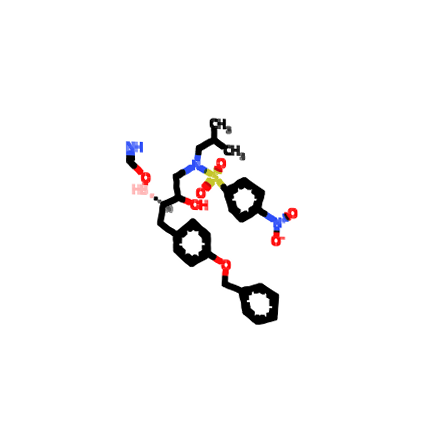 CC(C)CN(CC(O)[C@@H](BOC=N)Cc1ccc(OCc2ccccc2)cc1)S(=O)(=O)c1ccc([N+](=O)[O-])cc1